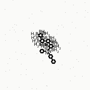 Bc1c(B)c(-c2nc(-c3ccccc3)nc(-c3ccc(-c4ccccc4)cc3)n2)c(B)c(-c2c(B)c(B)c(B)c(-c3c(B)c(B)c(B)c4c3sc3c(B)c(B)c(B)c(B)c34)c2B)c1B